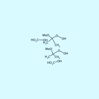 COC(C)(C)OO.COC(C)(C)OO.O=C(O)O.O=C(O)O